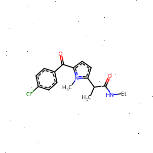 CCNC(=O)C(C)c1ccc(C(=O)c2ccc(Cl)cc2)n1C